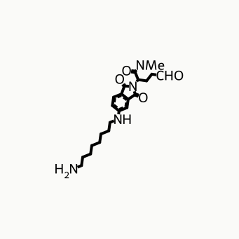 CNC(=O)C(CCC=O)N1C(=O)c2ccc(NCCCCCCCCN)cc2C1=O